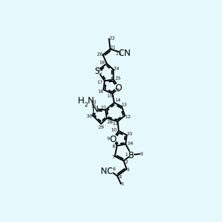 CB1C(/C=C(/C)C#N)=Cc2oc(-c3ccc(-c4cc5sc(/C=C(/C)C#N)cc5o4)c4c3ccn4N)cc21